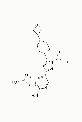 CC(C)Oc1cc(-c2cc(C3CCN(C4COC4)CC3)n(C(C)C)n2)cnc1N